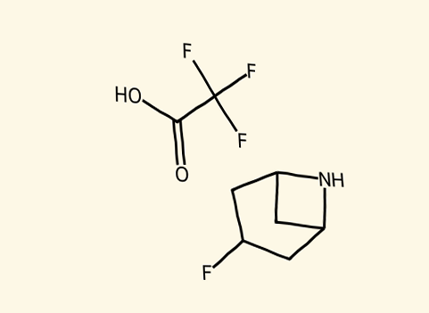 FC1CC2CC(C1)N2.O=C(O)C(F)(F)F